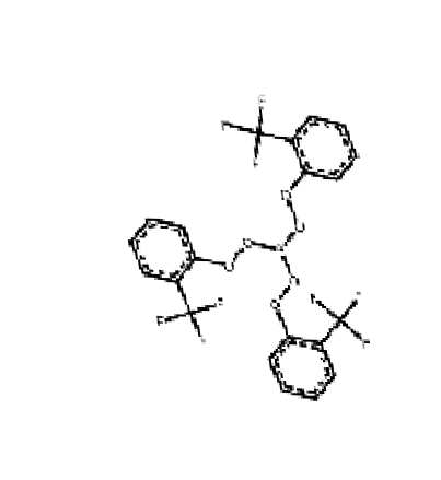 FC(F)(F)c1ccccc1OOP(OOc1ccccc1C(F)(F)F)OOc1ccccc1C(F)(F)F